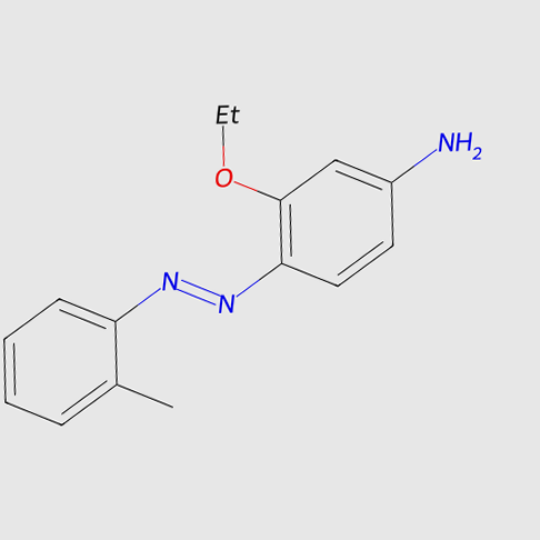 CCOc1cc(N)ccc1/N=N/c1ccccc1C